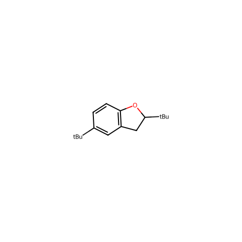 CC(C)(C)c1ccc2c(c1)CC(C(C)(C)C)O2